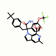 Cc1cc2ccn(C(Cc3ccc(C(C)(C)C)cc3)(C(N)=O)c3cccc(OC(F)(F)F)c3)c2c(C(=O)O)n1